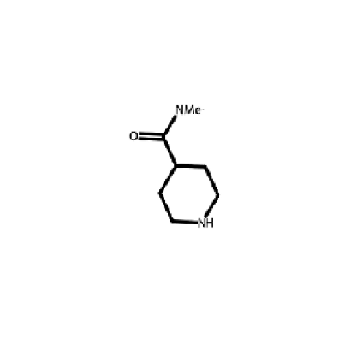 C[N]C(=O)C1CCNCC1